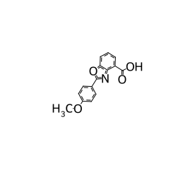 COc1ccc(-c2nc3c(C(=O)O)cccc3o2)cc1